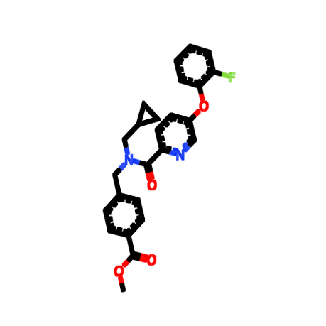 COC(=O)c1ccc(CN(CC2CC2)C(=O)c2ccc(Oc3ccccc3F)cn2)cc1